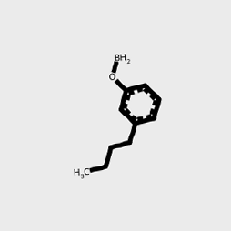 BOc1cccc(CCCC)c1